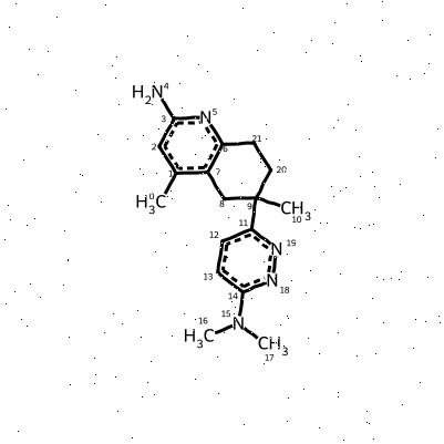 Cc1cc(N)nc2c1CC(C)(c1ccc(N(C)C)nn1)CC2